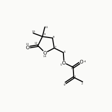 C=C(C)C(=O)OCC1CC(C)(C)C(=O)O1